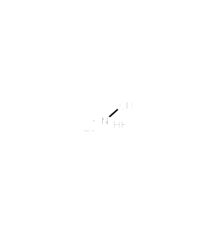 CN=O.F.F.F